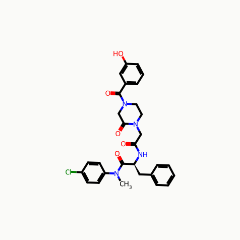 CN(C(=O)[C@H](Cc1ccccc1)NC(=O)CN1CCN(C(=O)c2cccc(O)c2)CC1=O)c1ccc(Cl)cc1